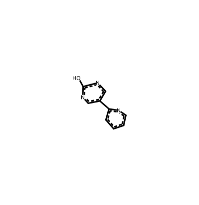 Oc1ncc(-c2ccccn2)cn1